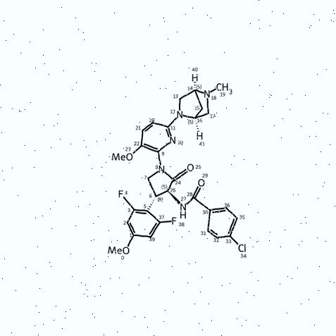 COc1cc(F)c([C@@H]2CN(c3nc(N4C[C@@H]5C[C@H]4CN5C)ccc3OC)C(=O)[C@H]2NC(=O)c2ccc(Cl)cc2)c(F)c1